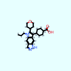 CCCn1c(C2CCOCC2)c(C2CCC(C(=O)O)CC2)c2cc3[nH]ncc3cc21